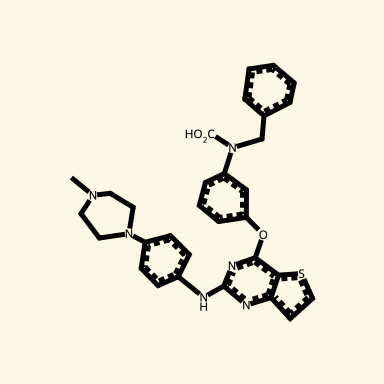 CN1CCN(c2ccc(Nc3nc(Oc4cccc(N(Cc5ccccc5)C(=O)O)c4)c4sccc4n3)cc2)CC1